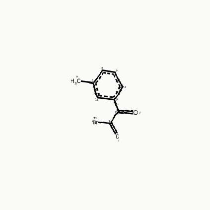 Cc1cccc(C(=O)C(=O)Br)c1